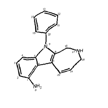 Nc1cccc2c1c1c(n2-c2ccccc2)CNCC=C1